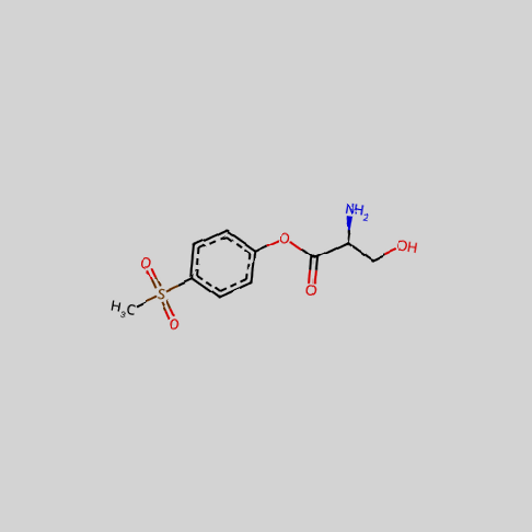 CS(=O)(=O)c1ccc(OC(=O)[C@@H](N)CO)cc1